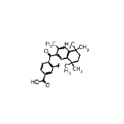 Cc1cc2c(cc1C(=O)c1ccc(C(=O)O)cc1F)C(C)(C)CCC2(C)C